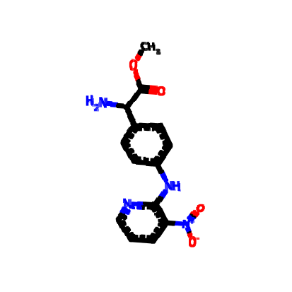 COC(=O)C(N)c1ccc(Nc2ncccc2[N+](=O)[O-])cc1